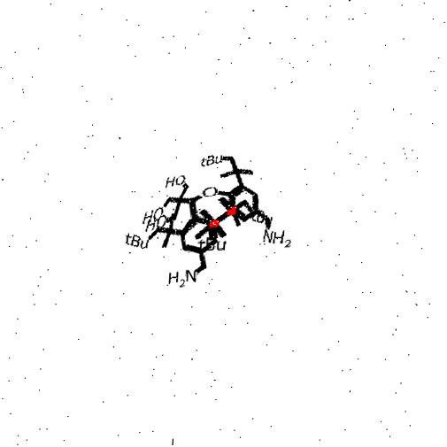 CC(C)(C)CC(C)(C)c1cc(CN)cc(C(C)(C)CC(C)(C)C)c1OC(c1c(C(C)(C)CC(C)(C)C)cc(CN)cc1C(C)(C)CC(C)(C)C)C(CO)(CO)CO